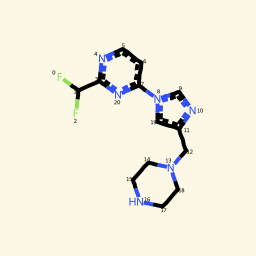 FC(F)c1nccc(-n2cnc(CN3CCNCC3)c2)n1